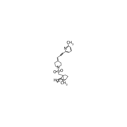 Cc1cccc(C#CC=C2CCN(S(=O)(=O)CC34CCC(CC3=O)C4(C)C)CC2)n1